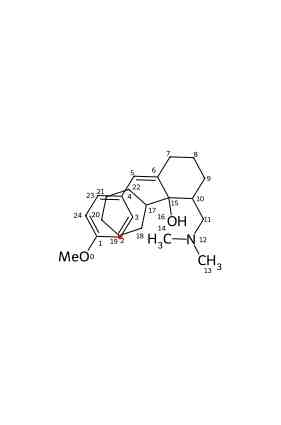 COc1ccc(/C=C2/CCCC(CN(C)C)C2(O)C2CCCCC2)cc1